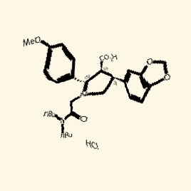 CCCCN(CCCC)C(=O)CN1C[C@H](c2ccc3c(c2)OCO3)[C@H](C(=O)O)[C@H]1c1ccc(OC)cc1.Cl